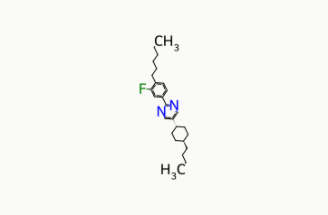 CCCCCCc1ccc(-c2ncc([C@H]3CC[C@H](CCCC)CC3)cn2)cc1F